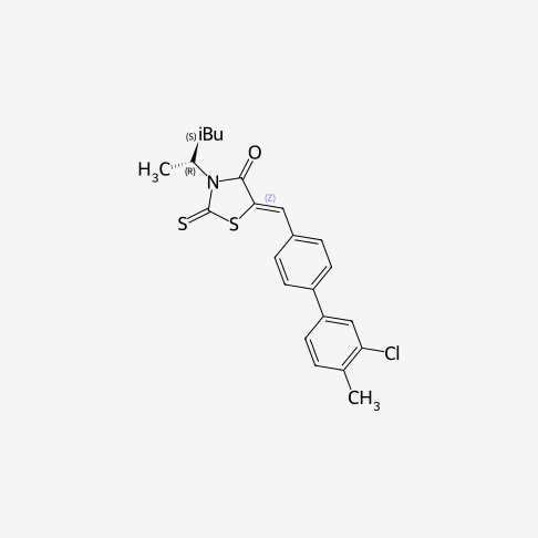 CC[C@H](C)[C@@H](C)N1C(=O)/C(=C/c2ccc(-c3ccc(C)c(Cl)c3)cc2)SC1=S